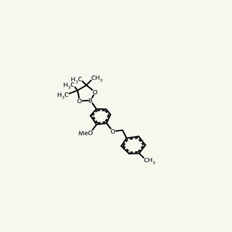 COc1cc(B2OC(C)(C)C(C)(C)O2)ccc1OCc1ccc(C)cc1